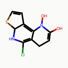 OC1=CCC2=C(Cl)NC3SC=CC3=C2N1O